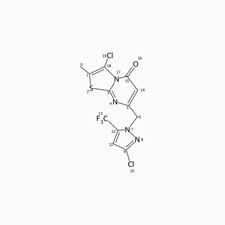 Cc1sc2nc(Cn3nc(Cl)cc3C(F)(F)F)cc(=O)n2c1Cl